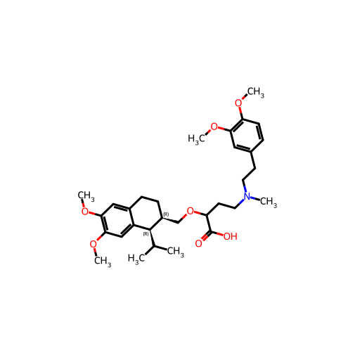 COc1ccc(CCN(C)CCC(OC[C@@H]2CCc3cc(OC)c(OC)cc3[C@@H]2C(C)C)C(=O)O)cc1OC